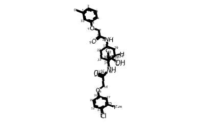 Cc1cccc(OCC(=O)NC23CCC(NC(=O)COc4ccc(Cl)c(F)c4)(CC2)[C@@H](O)C3)c1